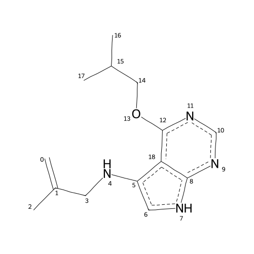 C=C(C)CNc1c[nH]c2ncnc(OCC(C)C)c12